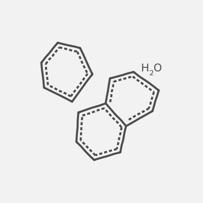 O.c1ccc2ccccc2c1.c1ccccc1